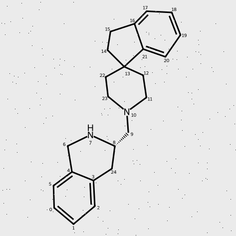 c1ccc2c(c1)CN[C@H](CN1CCC3(CCc4ccccc43)CC1)C2